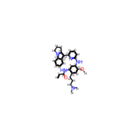 C=CC(=O)Nc1cc(Nc2cccc(-c3c4n(c5ccccc35)CCC4)n2)c(OC)cc1CCCN(C)C